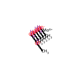 CCCCCCCC[PH](=O)[O-].CCCCCCCC[PH](=O)[O-].CCCCCCCC[PH](=O)[O-].CCCCCCCC[PH](=O)[O-].CCCCCCCC[PH](=O)[O-].CCCCCCCC[PH](=O)[O-].[Mo+6]